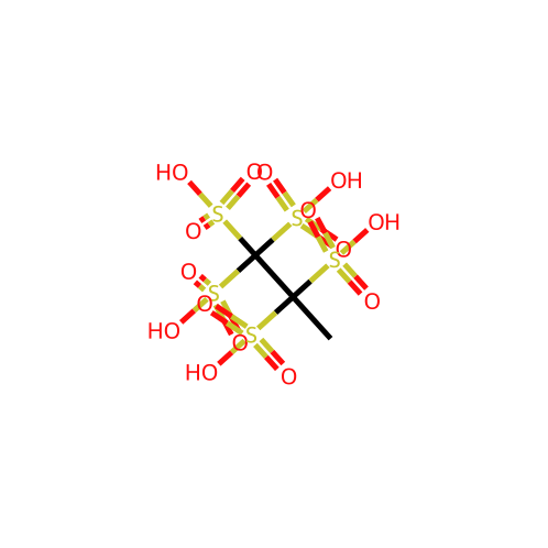 CC(C(S(=O)(=O)O)(S(=O)(=O)O)S(=O)(=O)O)(S(=O)(=O)O)S(=O)(=O)O